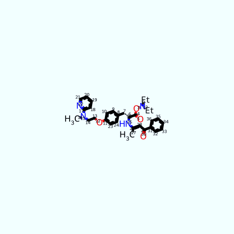 CCN(CC)OC(=O)[C@@H](Cc1ccc(OCCN(C)c2ccccn2)cc1)NC(C)=CC(=O)c1ccccc1